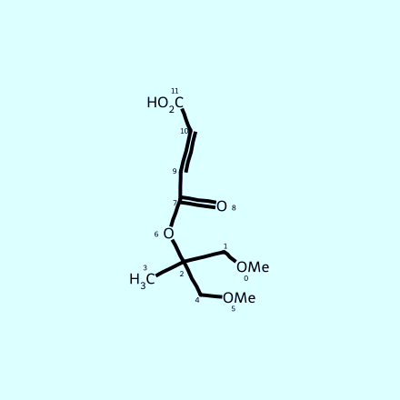 COCC(C)(COC)OC(=O)/C=C/C(=O)O